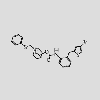 O=C(Nc1ccccc1Cc1cc(Br)cs1)OC1C[N+]2(CSc3ccccc3)CCC1CC2